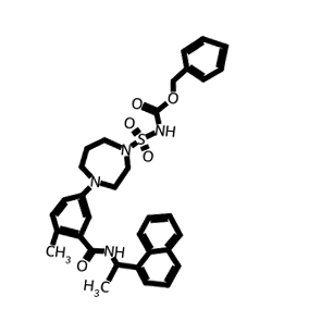 Cc1ccc(N2CCCN(S(=O)(=O)NC(=O)OCc3ccccc3)CC2)cc1C(=O)NC(C)c1cccc2ccccc12